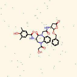 Cc1cc(C(=O)N[C@H]2CN(C(=O)CO)c3ccccc3N(CC(=O)N[C@H]3CC(=O)OC3OCc3ccccc3)C2=O)cc(C)c1O